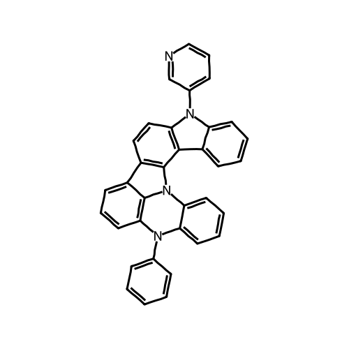 c1ccc(N2c3ccccc3-n3c4c2cccc4c2ccc4c(c5ccccc5n4-c4cccnc4)c23)cc1